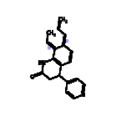 C=C/C=c1/ccc2c(/c1=C/C)NC(=O)CC2c1ccncc1